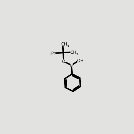 CC(C)C(C)(C)OB(O)c1ccccc1